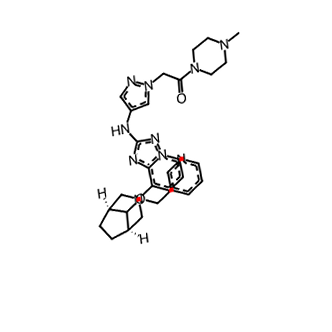 CN1CCN(C(=O)Cn2cc(Nc3nc4c(N5C[C@H]6CC[C@@H](C5)C6OCc5cccnc5)cccn4n3)cn2)CC1